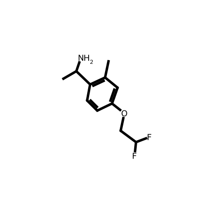 Cc1cc(OCC(F)F)ccc1C(C)N